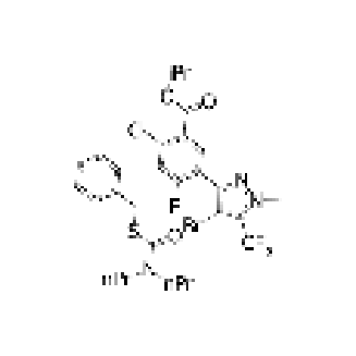 CC(C)OC(=O)c1cc(-c2nn(C)c(C(F)(F)F)c2Br)c(F)cc1Cl.CCCN(CCC)C(=O)SCc1ccccc1